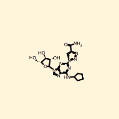 NC(=O)c1cn(-c2nc(NC3CCCC3)c3ncn(C4O[C@H](CO)[C@@H](O)[C@@H]4O)c3n2)nn1